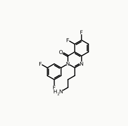 NCCCc1nc2ccc(F)c(F)c2c(=O)n1-c1cc(F)cc(F)c1